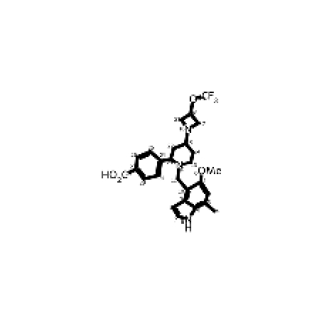 COc1cc(C)c2[nH]ccc2c1CN1CCC(N2CC(OC(F)(F)F)C2)CC1c1ccc(C(=O)O)cc1